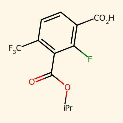 CC(C)OC(=O)c1c(C(F)(F)F)ccc(C(=O)O)c1F